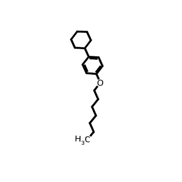 CCCCCCCOc1ccc(C2CCCCC2)cc1